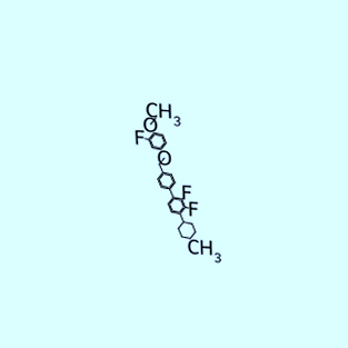 CCOc1ccc(OCc2ccc(-c3ccc(C4CCC(C)CC4)c(F)c3F)cc2)cc1F